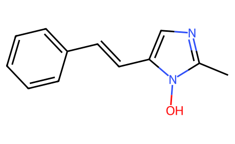 Cc1ncc(C=Cc2ccccc2)n1O